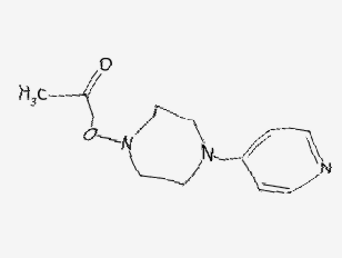 CC(=O)ON1CCN(c2ccncc2)CC1